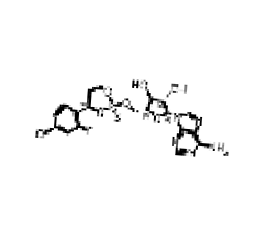 Nc1ncnc2c1ncn2[C@@H]1O[C@H](COP2(=S)OCC[C@H](c3ccc(Cl)cc3F)O2)C(O)[C@@H]1O